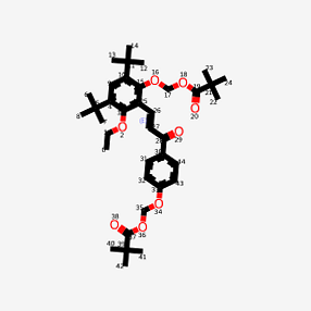 CCOc1c(C(C)(C)C)cc(C(C)(C)C)c(OCOC(=O)C(C)(C)C)c1/C=C/C(=O)c1ccc(OCOC(=O)C(C)(C)C)cc1